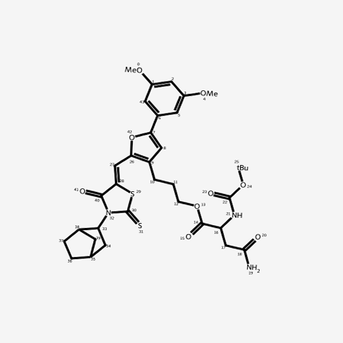 COc1cc(OC)cc(-c2cc(CCCOC(=O)C(CC(N)=O)NC(=O)OC(C)(C)C)c(C=C3SC(=S)N(C4CC5CCC4C5)C3=O)o2)c1